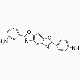 Nc1ccc(-c2nc3cc4nc(-c5cccc(N)c5)oc4cc3o2)cc1